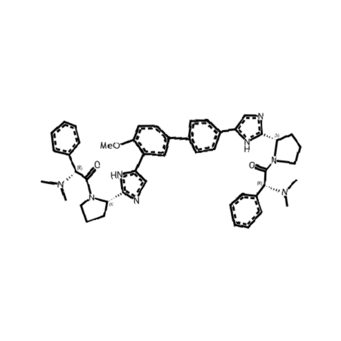 COc1ccc(-c2ccc(-c3cnc([C@@H]4CCCN4C(=O)[C@@H](c4ccccc4)N(C)C)[nH]3)cc2)cc1-c1cnc([C@@H]2CCCN2C(=O)[C@@H](c2ccccc2)N(C)C)[nH]1